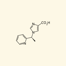 C[C@@H](c1ccccn1)n1cnc(C(=O)O)c1